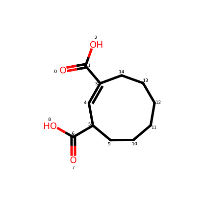 O=C(O)C1=CC(C(=O)O)CCCCCC1